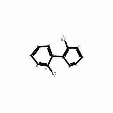 CCc1[c]cccc1-c1ccccc1CC